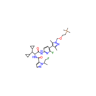 Cc1nn(COCCS(C)(C)C)c(C)c1-c1ccc(NC(=O)C(NC(=O)c2ccnn2C(C)CF)C(C2CC2)C2CC2)nc1F